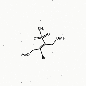 COCC(Br)=C(COC)S(C)(=O)=O